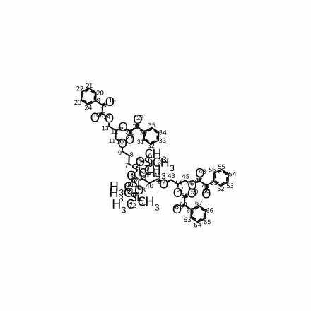 C[Si](C)(C)O[Si](C)(CCCOCC(COC(=O)C(=O)c1ccccc1)OC(=O)C(=O)c1ccccc1)O[Si](C)(CCCOCC(COC(=O)C(=O)c1ccccc1)OC(=O)C(=O)c1ccccc1)O[Si](C)(C)C